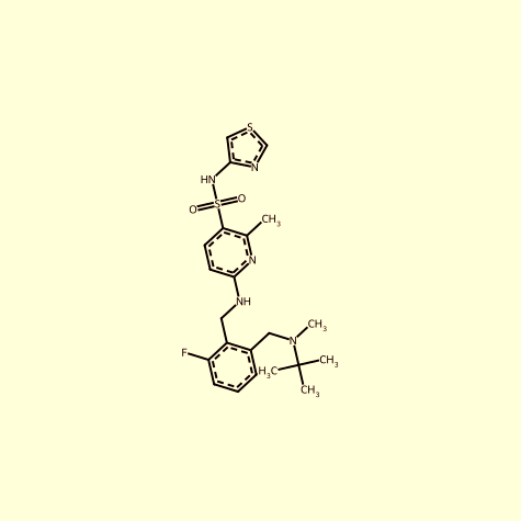 Cc1nc(NCc2c(F)cccc2CN(C)C(C)(C)C)ccc1S(=O)(=O)Nc1cscn1